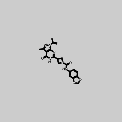 C=C(C)n1nc(C)c2c(=O)[nH]c(C3CN(C(=O)Nc4ccc5c(c4)OCO5)C3)nc21